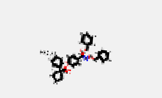 O=C(O)c1ccc(C2(C(=O)Oc3ccc(C(=NOCc4ccccc4)OCc4ccccc4)cc3)CCCCC2)cc1